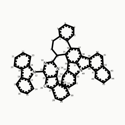 c1ccc2c(c1)CCC(c1nc(-n3c4ccccc4c4ccccc43)c3oc4ccccc4c3n1)c1c-2cc2c3ccc4ccccc4c3n3c4ccccc4c1c23